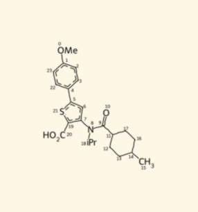 COc1ccc(-c2cc(N(C(=O)C3CCC(C)CC3)C(C)C)c(C(=O)O)s2)cc1